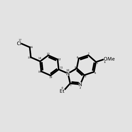 CCc1nc2cc(OC)ccc2n1-c1ccc(CCCl)cc1